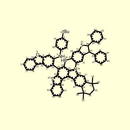 CC(C)(C)c1ccc(Nc2cc3oc4ccccc4c3cc2-c2c3c4c(c5cc6c(cc5n4-c4cc5c(cc4B3)SC(c3ccccc3)C5c3ccccc3)C(C)(C)CCC6(C)C)c3c2sc2ccccc23)cc1